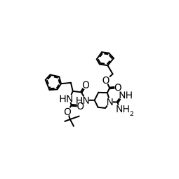 CC(C)(C)OC(=O)NC(Cc1ccccc1)C(=O)NC1CCN(C(=N)N)C(C(=O)OCc2ccccc2)C1